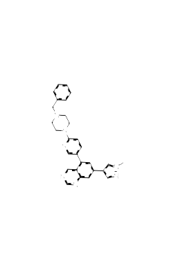 Cn1cc(-c2cc(-c3ccc(N4CCN(Cc5ccccc5)CC4)nc3)c3cncnc3c2)cn1